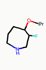 CC(C)OC1CCCNCC1F